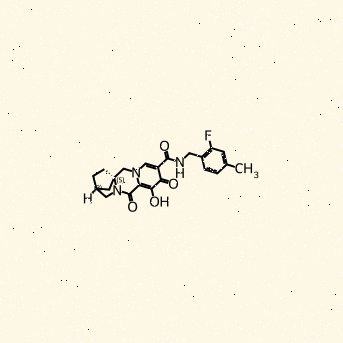 Cc1ccc(CNC(=O)c2cn3c(c(O)c2=O)C(=O)N2C[C@@H]4CC[C@]2(C4)C3)c(F)c1